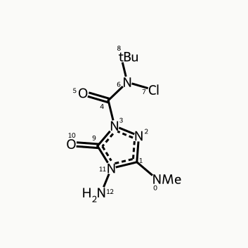 CNc1nn(C(=O)N(Cl)C(C)(C)C)c(=O)n1N